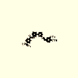 COc1ccc(CCOc2cccc(-c3cccc(NC(=O)c4ccc(N(C)C)cc4)c3)n2)cc1OC